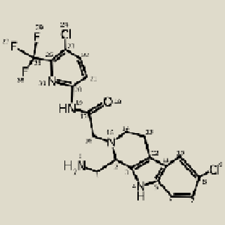 NCC1c2[nH]c3ccc(Cl)cc3c2CCN1CC(=O)Nc1ccc(Cl)c(C(F)(F)F)n1